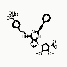 O=C(O)[C@H]1C[C@@H](n2cnc3c(NCCc4ccc(S(=O)(=O)O)cc4)nc(C#Cc4ccccc4)nc32)[C@H](O)[C@@H]1O